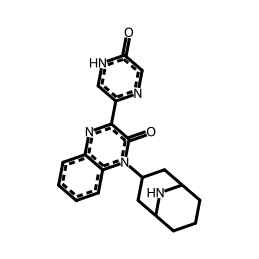 O=c1cnc(-c2nc3ccccc3n(C3CC4CCCC(C3)N4)c2=O)c[nH]1